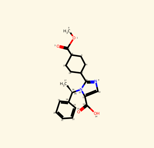 COC(=O)C1CCC(c2ncc(C(=O)O)n2[C@H](C)c2ccccc2)CC1